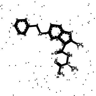 Cc1sc2ccc(OCc3ccccc3)cc2c1C(=O)N[C@H](C)C(N)=O